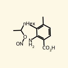 CCCCCCC(C)ON=O.Cc1ccc(C(=O)O)c(N)c1C